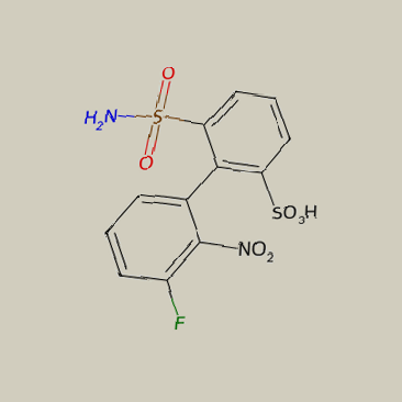 NS(=O)(=O)c1cccc(S(=O)(=O)O)c1-c1cccc(F)c1[N+](=O)[O-]